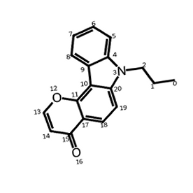 CCCn1c2ccccc2c2c3occc(=O)c3ccc21